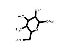 COC1OC(COC(C)=O)C(C)C(OC(C)=O)C1OC(C)=O